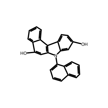 Oc1ccc2c3c4ccccc4c(O)cc3n(-c3cccc4ccccc34)c2c1